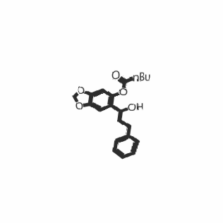 CCCCC(=O)Oc1cc2c(cc1C(O)CCc1ccccc1)OCO2